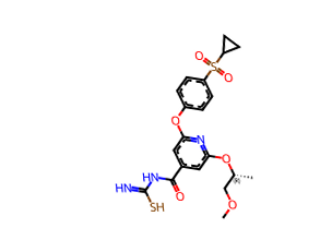 COC[C@@H](C)Oc1cc(C(=O)NC(=N)S)cc(Oc2ccc(S(=O)(=O)C3CC3)cc2)n1